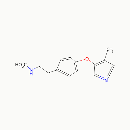 O=C(O)NCCc1ccc(Oc2cnccc2C(F)(F)F)cc1